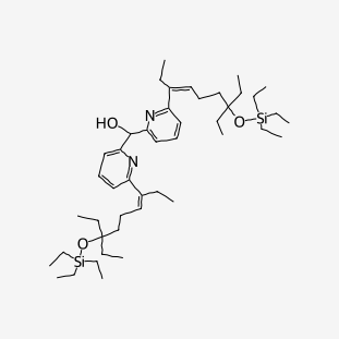 CC/C(=C/CCC(CC)(CC)O[Si](CC)(CC)CC)c1cccc(C(O)c2cccc(/C(=C\CCC(CC)(CC)O[Si](CC)(CC)CC)CC)n2)n1